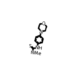 CNC(=S)Nc1ccc(N2CCOCC2)cc1